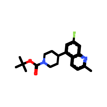 Cc1ccc2c(C3CCN(C(=O)OC(C)(C)C)CC3)cc(F)cc2n1